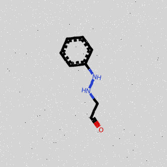 O=[C]CNNc1ccccc1